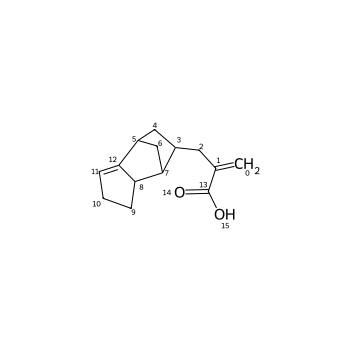 C=C(CC1CC2CC1C1CCC=C21)C(=O)O